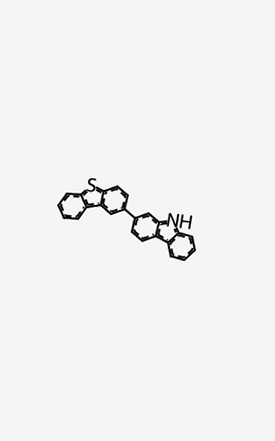 c1ccc2c(c1)[nH]c1cc(-c3ccc4sc5ccccc5c4c3)ccc12